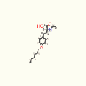 C=CCCCCOc1ccc(CCC2(CO)COC(C)=N2)cc1